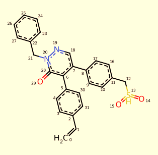 C=Cc1ccc(-c2c(-c3ccc(C[SH](=O)=O)cc3)cnn(Cc3ccccc3)c2=O)cc1